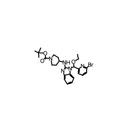 CCOC(c1cccc(Br)n1)n1c(NC2CCN(C(=O)OC(C)(C)C)CC2)nc2ccccc21